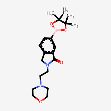 CC1(C)OB(c2ccc3c(c2)C(=O)N(CCN2CCOCC2)C3)OC1(C)C